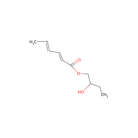 CC=CC=CC(=O)OCC(O)CC